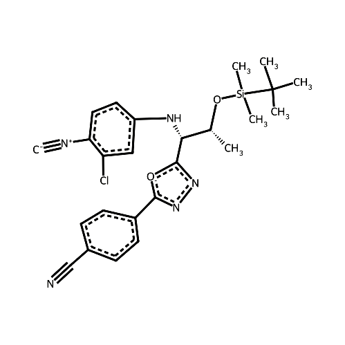 [C-]#[N+]c1ccc(N[C@@H](c2nnc(-c3ccc(C#N)cc3)o2)[C@@H](C)O[Si](C)(C)C(C)(C)C)cc1Cl